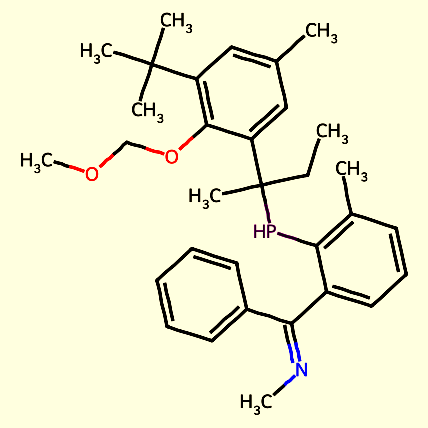 CCC(C)(Pc1c(C)cccc1/C(=N/C)c1ccccc1)c1cc(C)cc(C(C)(C)C)c1OCOC